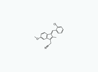 COc1ccc2c(c1)C(CC#N)=C(C)C2=Cc1ccccc1Cl